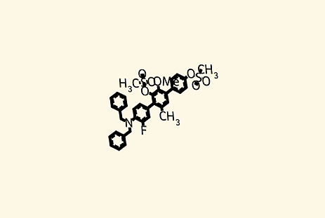 COc1c(-c2ccc(OS(C)(=O)=O)cc2)cc(C)c(-c2ccc(N(Cc3ccccc3)Cc3ccccc3)c(F)c2)c1OS(C)(=O)=O